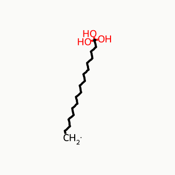 [CH2]CCCCCCCCCCCCCCCCC(O)(O)O